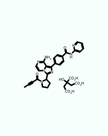 CC#CC(=O)N1CCCC1c1nc(-c2ccc(C(=O)Nc3ccccn3)cc2)c2c(N)nccn12.O=C(O)CC(O)(CC(=O)O)C(=O)O